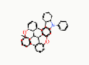 CC12CC=CC=C1C(C1c3ccccc3Oc3cccc(-c4ccccc4)c31)C1C(c3cccc4c3C3C=CCCC3N4C3=CC=CCC3)=CC=CC1O2